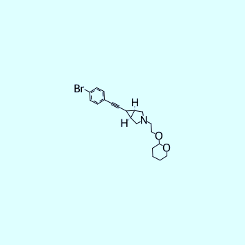 Brc1ccc(C#CC2[C@H]3CN(CCOC4CCCCO4)C[C@@H]23)cc1